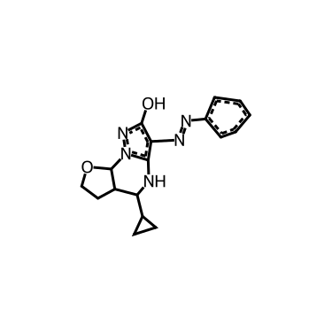 Oc1nn2c(c1N=Nc1ccccc1)NC(C1CC1)C1CCOC12